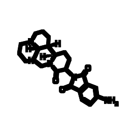 Nc1ccc2c(c1)C(=O)N(C1CC[C@@H]3[C@H]4CCCN5CCC[C@@H](CN3C1=O)[C@@H]45)C2=O